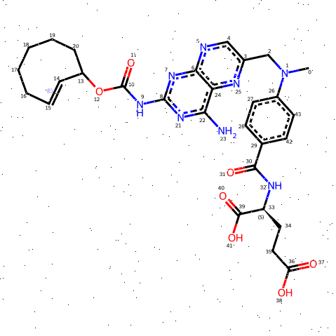 CN(Cc1cnc2nc(NC(=O)OC3/C=C/CCCCC3)nc(N)c2n1)c1ccc(C(=O)N[C@@H](CCC(=O)O)C(=O)O)cc1